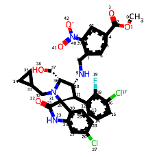 COC(=O)c1ccc(CN[C@@H]2C(c3cccc(Cl)c3F)[C@@]3(C(=O)Nc4cc(Cl)ccc43)N(CC3CC3)[C@@H]2CO)c([N+](=O)[O-])c1